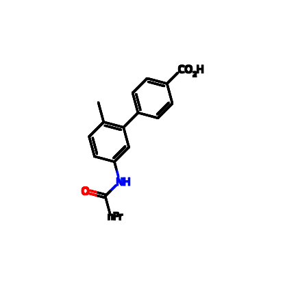 CCCC(=O)Nc1ccc(C)c(-c2ccc(C(=O)O)cc2)c1